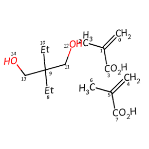 C=C(C)C(=O)O.C=C(C)C(=O)O.CCC(CC)(CO)CO